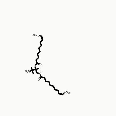 CCCCCCCC/C=C\CCCCCCCC(=O)OCC(C)(OC(=O)CCCCCCC/C=C\CCCCCCCC)C(C)(C)N